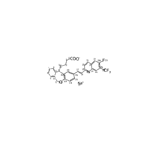 O=C([O-])CCSC1c2ccccc2COc2ccc(C=Cc3ccc4cc(F)c(C(F)(F)F)cc4n3)cc21.[Na+]